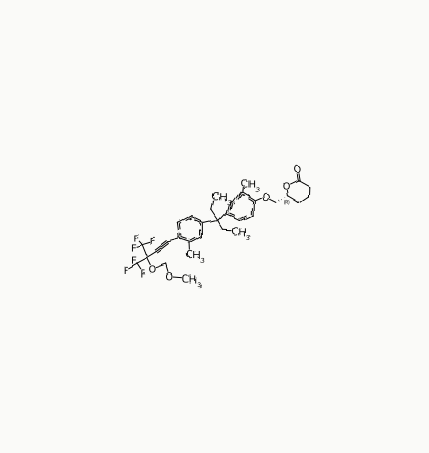 CCC(CC)(c1ccc(C#CC(OCOC)(C(F)(F)F)C(F)(F)F)c(C)c1)c1ccc(OC[C@H]2CCCC(=O)O2)c(C)c1